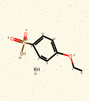 CCOc1ccc(S(=O)(=O)S)cc1.[KH]